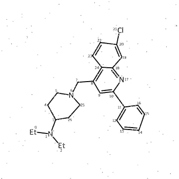 CCN(CC)C1CCN(Cc2cc(-c3ccccc3)nc3cc(Cl)ccc23)CC1